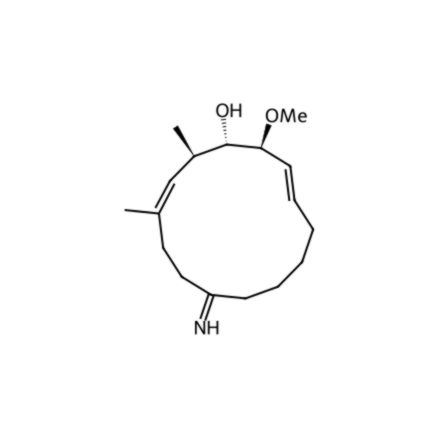 CO[C@H]1/C=C/CCCCC(=N)CC/C(C)=C\[C@@H](C)[C@@H]1O